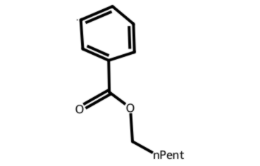 CCCCCCOC(=O)c1c[c]ccc1